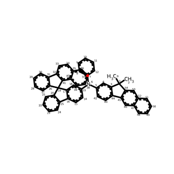 CC1(C)c2cc(N(c3ccccc3)c3ccc4c(c3)C3(c5ccccc5-4)c4ccccc4-c4ccc5ccccc5c43)ccc2-c2cc3ccccc3cc21